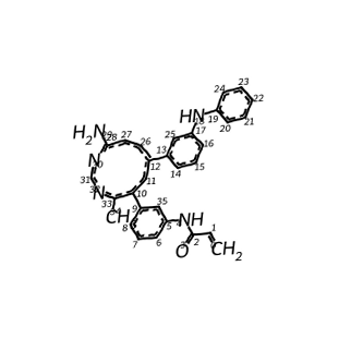 C=CC(=O)Nc1cccc(-c2cc(-c3cccc(Nc4ccccc4)c3)ccc(N)ncnc2C)c1